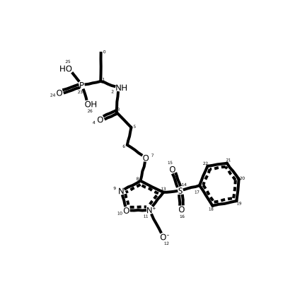 CC(NC(=O)CCOc1no[n+]([O-])c1S(=O)(=O)c1ccccc1)P(=O)(O)O